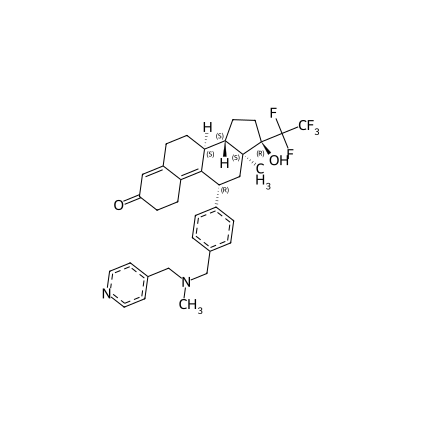 CN(Cc1ccncc1)Cc1ccc([C@H]2C[C@@]3(C)[C@@H](CC[C@]3(O)C(F)(F)C(F)(F)F)[C@@H]3CCC4=CC(=O)CCC4=C32)cc1